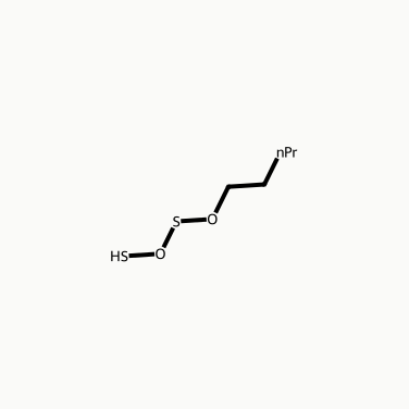 CCCCCOSOS